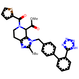 CCCCc1nc2c(n1Cc1ccc(-c3ccccc3-c3nnn[nH]3)cc1)C(C(=O)OC)N(C(=O)c1cccs1)CC2